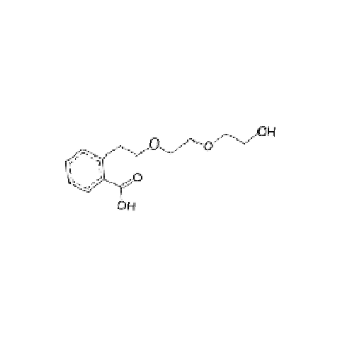 O=C(O)c1ccccc1CCOCCOCCO